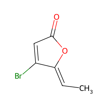 C/C=C1\OC(=O)C=C1Br